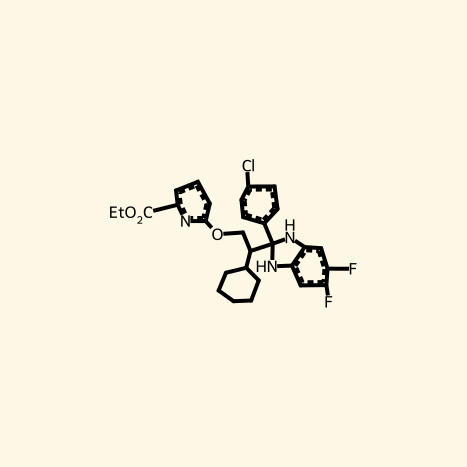 CCOC(=O)c1cccc(OCC(C2CCCCC2)C2(c3ccc(Cl)cc3)Nc3cc(F)c(F)cc3N2)n1